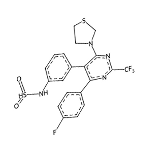 O=[SH](=O)Nc1cccc(-c2c(-c3ccc(F)cc3)nc(C(F)(F)F)nc2N2CCSC2)c1